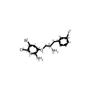 Nc1nc(Cl)c(Br)cc1OC[C@@H](N)Cc1cccc(F)c1